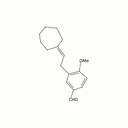 COc1ccc(C=O)cc1CC=C1CCCCCC1